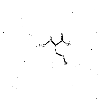 CN[C@@H](CSS)C(=O)O